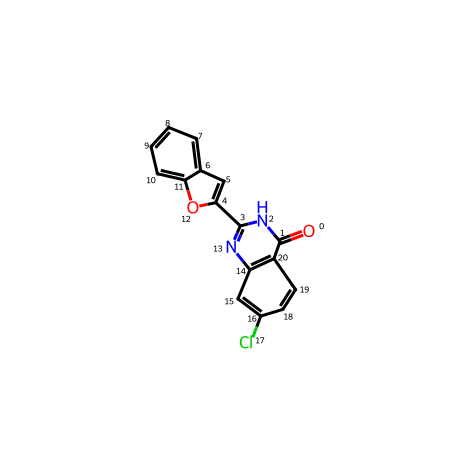 O=c1[nH]c(-c2cc3ccccc3o2)nc2cc(Cl)ccc12